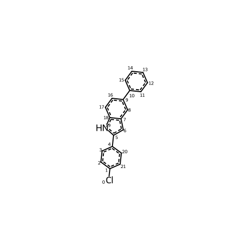 Clc1ccc(-c2cc3cc(-c4ccccc4)ccc3[nH]2)cc1